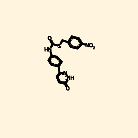 O=C(Nc1ccc(-c2ccc(=O)[nH]n2)cc1)SCc1ccc([N+](=O)[O-])cc1